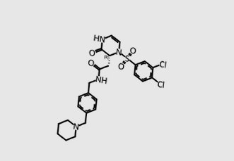 O=C(C[C@@H]1C(=O)NC=CN1S(=O)(=O)c1ccc(Cl)c(Cl)c1)NCc1ccc(CN2CCCCC2)cc1